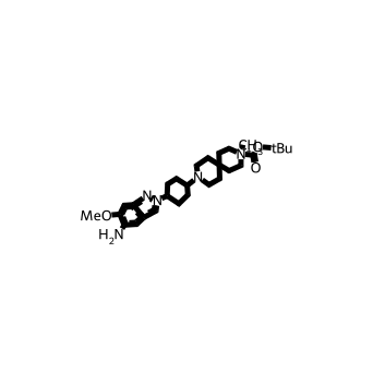 COc1cc2nn(C3CCC(N4CCC5(CC4)CC[N+](C)(C(=O)OC(C)(C)C)CC5)CC3)cc2cc1N